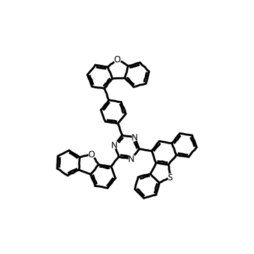 c1ccc2c(c1)cc(-c1nc(-c3ccc(-c4cccc5oc6ccccc6c45)cc3)nc(-c3cccc4c3oc3ccccc34)n1)c1c3ccccc3sc21